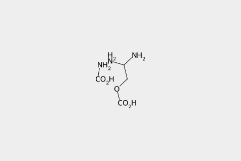 NC(=O)O.NC(N)COC(=O)O